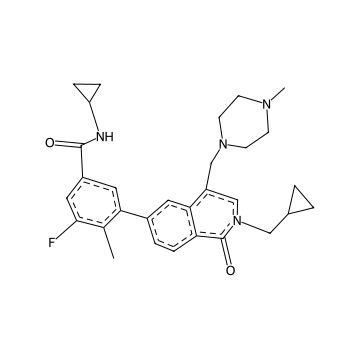 Cc1c(F)cc(C(=O)NC2CC2)cc1-c1ccc2c(=O)n(CC3CC3)cc(CN3CCN(C)CC3)c2c1